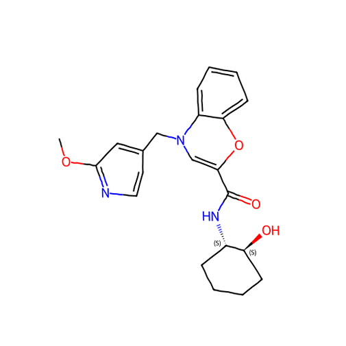 COc1cc(CN2C=C(C(=O)N[C@H]3CCCC[C@@H]3O)Oc3ccccc32)ccn1